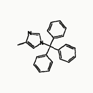 Cc1cn(C(c2ccccc2)(c2ccccc2)c2ccccc2)cn1